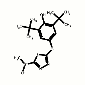 C[S+]([O-])c1nnc(Sc2cc(C(C)(C)C)c(O)c(C(C)(C)C)c2)s1